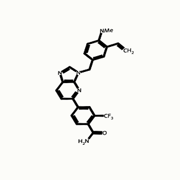 C=Cc1cc(Cn2cnc3ccc(-c4ccc(C(N)=O)c(C(F)(F)F)c4)nc32)ccc1NC